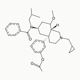 COC1C[C@H](N(CC(C)C)C(=O)c2ccccc2)C[C@]2(c3cccc(OC(C)=O)c3)CCN(CC3CC3)C[C@@H]12